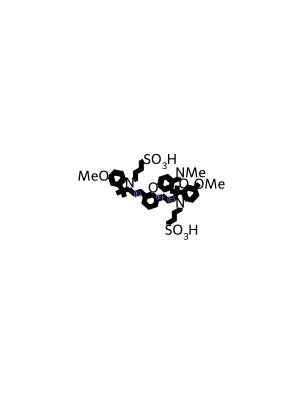 CNC(=O)c1ccc(OC2=C(/C=C/C3N(CCCCS(=O)(=O)O)c4ccc(OC)cc4C3(C)C)CCC/C2=C\C=C2\N(CCCCS(=O)(=O)O)c3ccc(OC)cc3C2(C)C)cc1